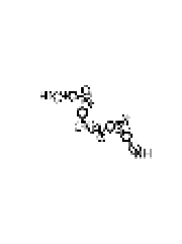 CCC(Cc1ccc(C(=O)N2CCN(C(=O)c3ccc(CC(CC)(C(=O)c4ccc(N5CCNCC5)cc4)N(C)C)cc3)CC2)cc1)(C(=O)c1ccc(N2CCNCC2)cc1)N(C)C